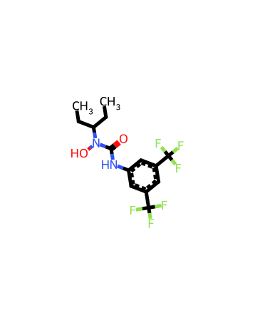 CCC(CC)N(O)C(=O)Nc1cc(C(F)(F)F)cc(C(F)(F)F)c1